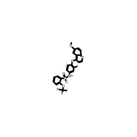 COc1ccc2nccc(Oc3ccc(NS(=O)(=O)c4ccccc4OC(F)(F)F)cc3F)c2c1